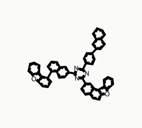 c1ccc2cc(-c3ccc(-c4nc(-c5ccc6c(-c7cccc8oc9ccccc9c78)cccc6c5)nc(-c5ccc6ccc7oc8ccccc8c7c6c5)n4)cc3)ccc2c1